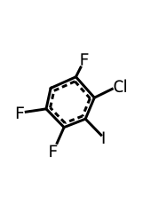 Fc1cc(F)c(Cl)c(I)c1F